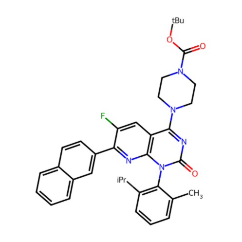 Cc1cccc(C(C)C)c1-n1c(=O)nc(N2CCN(C(=O)OC(C)(C)C)CC2)c2cc(F)c(-c3ccc4ccccc4c3)nc21